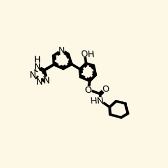 O=C(NC1CCCCC1)Oc1ccc(O)c(-c2cncc(-c3nnn[nH]3)c2)c1